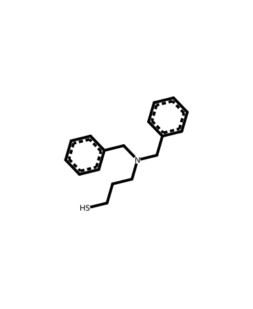 SCCCN(Cc1ccccc1)Cc1ccccc1